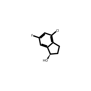 O[C@@H]1CCc2c(Cl)cc(F)cc21